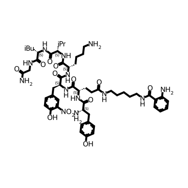 CCC(C)[C@H](NC(=O)[C@@H](NC(=O)[C@H](CCCCN)NC(=O)[C@H](Cc1ccc(O)c([N+](=O)[O-])c1)NC(=O)[C@H](CCC(=O)NCCCCCNC(=O)c1ccccc1N)NC(=O)[C@@H](N)Cc1ccc(O)cc1)C(C)C)C(=O)NCC(N)=O